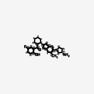 Cc1cn2nc([C@@H]3CCCCN3C(=O)c3cc(F)ccc3O)cc2nc1N1CC[C@H](N)C1